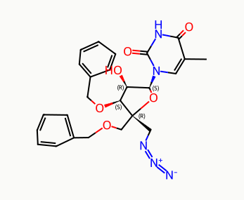 Cc1cn([C@H]2O[C@](CN=[N+]=[N-])(COCc3ccccc3)[C@@H](OCc3ccccc3)[C@H]2O)c(=O)[nH]c1=O